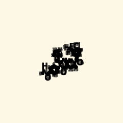 CNC(=O)c1ccc(-n2c(Cn3cccn3)nc3c(c2=O)CC(C)N(C(=O)c2ccc(Cl)c(C(F)(F)F)c2)C3)cc1